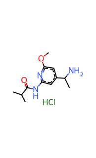 COc1cc(C(C)N)cc(NC(=O)C(C)C)n1.Cl